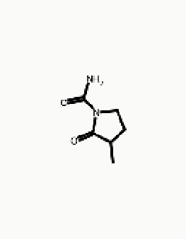 CC1CCN(C(N)=O)C1=O